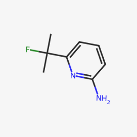 CC(C)(F)c1cccc(N)n1